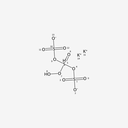 O=S(=O)([O-])O[SH](=O)(OO)OS(=O)(=O)[O-].[K+].[K+]